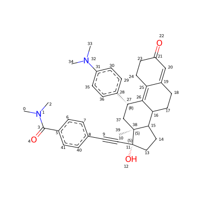 CN(C)C(=O)c1ccc(C#C[C@]2(O)CCC3C4CCC5=CC(=O)CCC5=C4[C@@H](c4ccc(N(C)C)cc4)C[C@@]32C)cc1